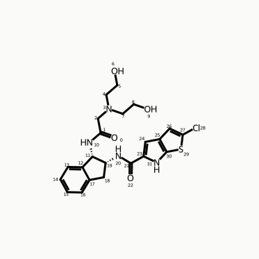 O=C(CN(CCO)CCO)N[C@H]1c2ccccc2C[C@H]1NC(=O)c1cc2cc(Cl)sc2[nH]1